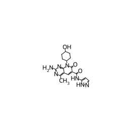 Cc1nc(N)nc2c1cc(C(=O)Nc1ccn[nH]1)c(=O)n2C1CCC(O)CC1